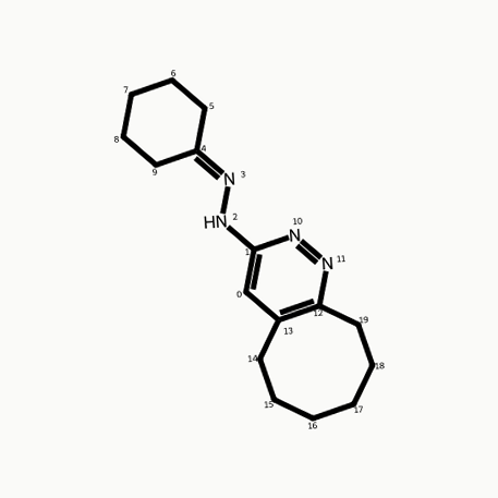 c1c(NN=C2CCCCC2)nnc2c1CCCCCC2